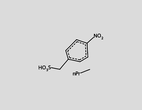 CCCC.O=[N+]([O-])c1ccc(CS(=O)(=O)O)cc1